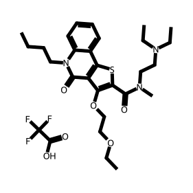 CCCCn1c(=O)c2c(OCCOCC)c(C(=O)N(C)CCN(CC)CC)sc2c2ccccc21.O=C(O)C(F)(F)F